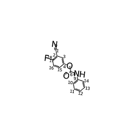 N#Cc1cc(OC(=O)Nc2ccccc2)ccc1F